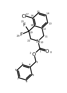 O=C(OCc1ccccc1)N1Cc2cccc(Cl)c2C(F)(F)C1